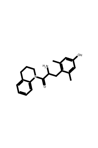 Cc1cc(O)cc(C)c1CC(N)C(=O)N1CCCc2ccccc21